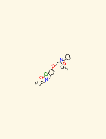 CCN(Cc1ccc(OCCc2nc(-c3ccccc3)oc2C)cc1)C(=O)Cl